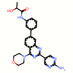 CC(O)C(=O)Nc1cccc(-c2ccc3c(N4CCOCC4)nc(-c4cnc(N)nc4)nc3c2)c1